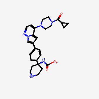 COC(=O)NC1(C2C=CC(c3cc4c(N5CCN(C(=O)C6CC6)CC5)ccnn4c3)=CC2)CCNCC1